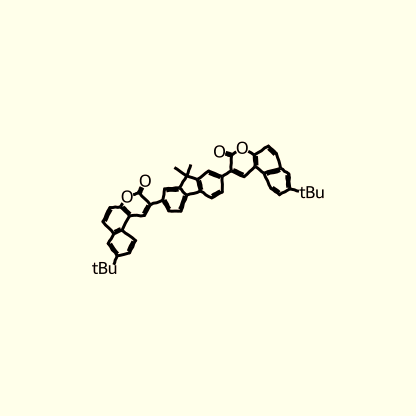 CC(C)(C)c1ccc2c(ccc3oc(=O)c(-c4ccc5c(c4)C(C)(C)c4cc(-c6cc7c(ccc8cc(C(C)(C)C)ccc87)oc6=O)ccc4-5)cc32)c1